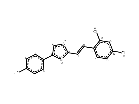 Fc1ccc(-c2csc(/C=C/c3ccc(Cl)cc3Cl)n2)cc1